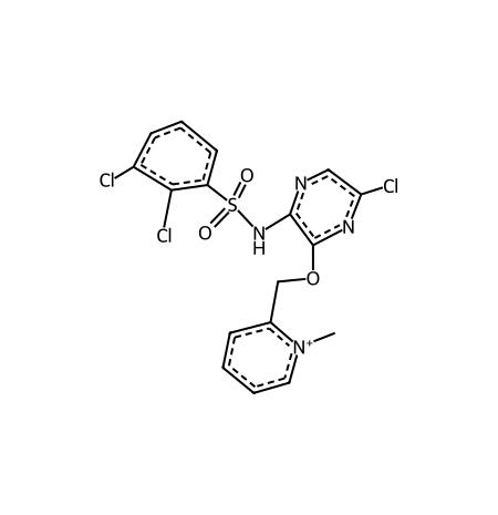 C[n+]1ccccc1COc1nc(Cl)cnc1NS(=O)(=O)c1cccc(Cl)c1Cl